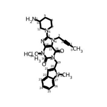 CC#CCn1c(N2CCCC(N)C2)nc2c1c(=O)n(Cc1cc3ccccc3n1C)c(=O)n2C.Cl